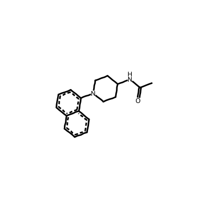 CC(=O)NC1CCN(c2cccc3ccccc23)CC1